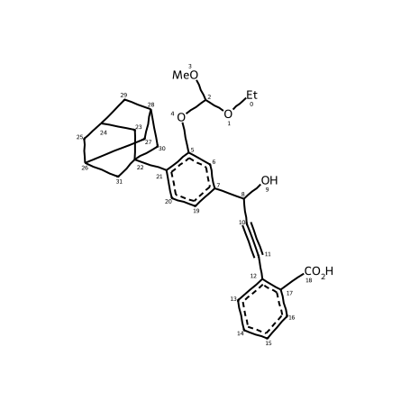 CCOC(OC)Oc1cc(C(O)C#Cc2ccccc2C(=O)O)ccc1C12CC3CC(CC(C3)C1)C2